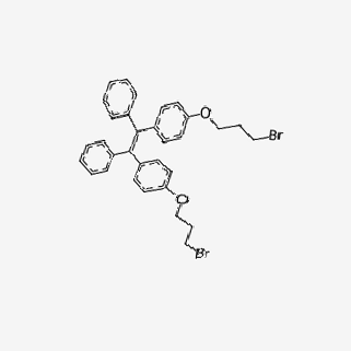 BrCCCOc1ccc(C(=C(c2ccccc2)c2ccc(OCCCBr)cc2)c2ccccc2)cc1